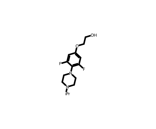 CC(C)N1CCN(c2c(F)cc(OCCO)cc2F)CC1